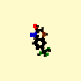 O=C1CSc2cc(C(F)(F)F)ccc2N1